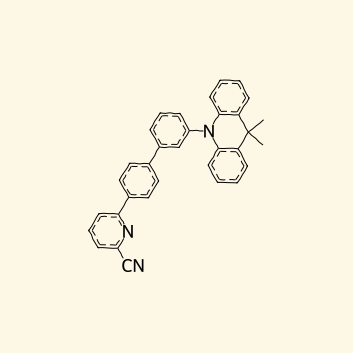 CC1(C)c2ccccc2N(c2cccc(-c3ccc(-c4cccc(C#N)n4)cc3)c2)c2ccccc21